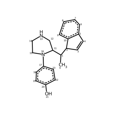 CC(C1C=Cc2ccccc21)C1CNCCN1c1ccc(O)cc1